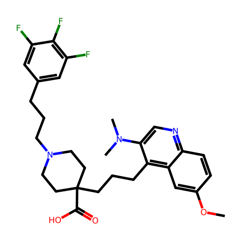 COc1ccc2ncc(N(C)C)c(CCCC3(C(=O)O)CCN(CCCc4cc(F)c(F)c(F)c4)CC3)c2c1